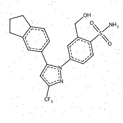 NS(=O)(=O)c1ccc(-n2nc(C(F)(F)F)cc2-c2ccc3c(c2)CCC3)cc1CO